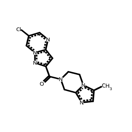 Cc1cnc2n1CCN(C(=O)c1cc3ncc(Cl)cn3n1)C2